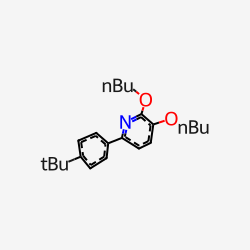 CCCCOc1ccc(-c2ccc(C(C)(C)C)cc2)nc1OCCCC